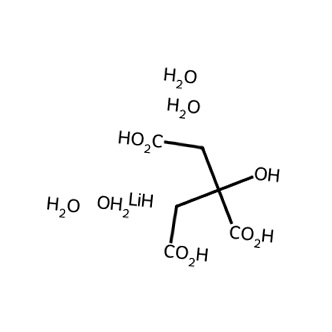 O.O.O.O.O=C(O)CC(O)(CC(=O)O)C(=O)O.[LiH]